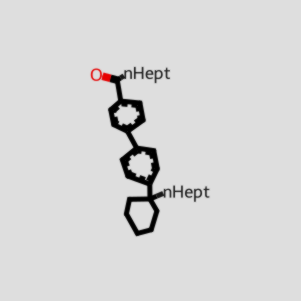 CCCCCCCC(=O)c1ccc(-c2ccc(C3(CCCCCCC)CCCCC3)cc2)cc1